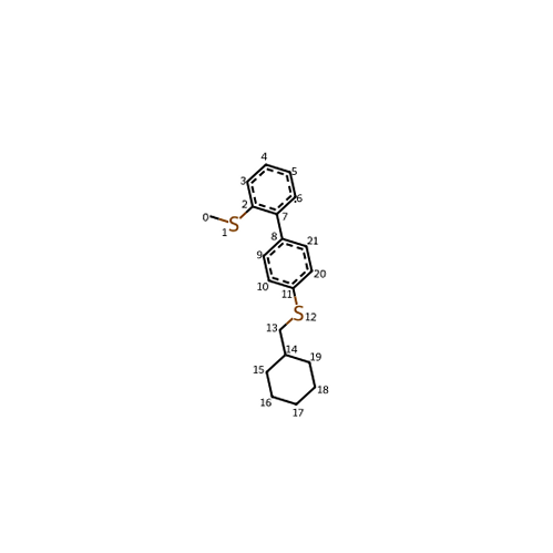 CSc1ccc[c]c1-c1ccc(SCC2CCCCC2)cc1